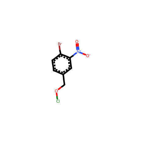 O=[N+]([O-])c1cc(COCl)ccc1Br